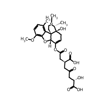 COc1ccc(C)c2c1O[C@H]1C(OC(=O)C[C@H](CC(=O)C[C@H](O)C(=O)O)C(=O)O)=CC[C@@]3(O)[C@@H](C)N(C)CC[C@]213